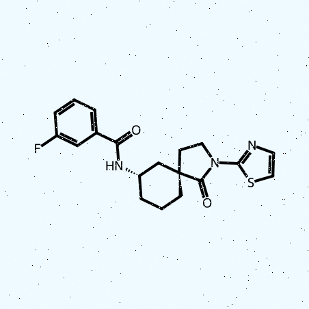 O=C(N[C@H]1CCC[C@]2(CCN(c3nccs3)C2=O)C1)c1cccc(F)c1